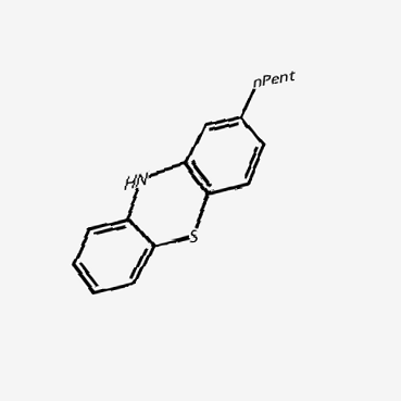 CCCCCc1ccc2c(c1)Nc1ccccc1S2